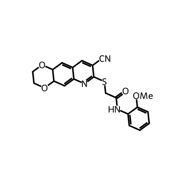 COc1ccccc1NC(=O)CSc1nc2c(cc1C#N)=CC1OCCOC1C=2